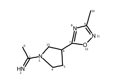 CC(=N)N1CCC(c2nc(C)no2)C1